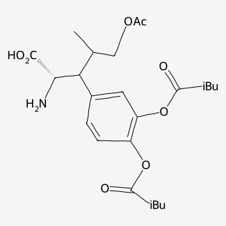 CCC(C)C(=O)Oc1ccc(C(C(C)COC(C)=O)[C@H](N)C(=O)O)cc1OC(=O)C(C)CC